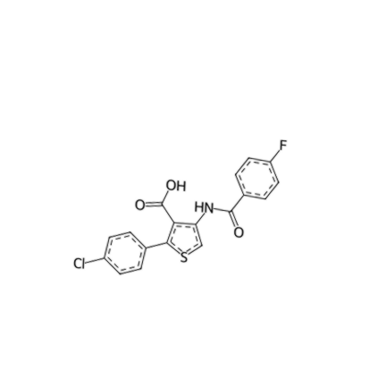 O=C(Nc1csc(-c2ccc(Cl)cc2)c1C(=O)O)c1ccc(F)cc1